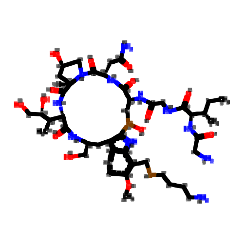 CC[C@H](C)[C@@H](NC(=O)CN)C(=O)NCC(=O)N[C@H]1C[S+]([O-])c2[nH]c3c(CSCCCCN)c(OC)ccc3c2C[C@@H](CO)NC(=O)[C@H]([C@@H](C)[C@@H](O)CO)NC(=O)[C@H]2C[C@@H](O)CN2C(=O)[C@H](CC(N)=O)NC1=O